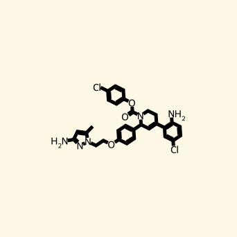 Cc1cc(N)nn1CCOc1ccc(C2C=C(c3cc(Cl)ccc3N)CCN2C(=O)Oc2ccc(Cl)cc2)cc1